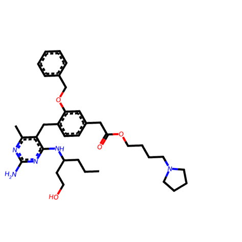 CCCC(CCO)Nc1nc(N)nc(C)c1Cc1ccc(CC(=O)OCCCCN2CCCC2)cc1OCc1ccccc1